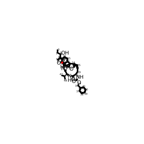 CCC(O)c1coc(-c2nc3oc2C24c5ccccc5NC2Oc2ccc(cc24)C[C@H](NC(=O)OCc2ccccc2)C(=O)N[C@H]3C(C)C)n1